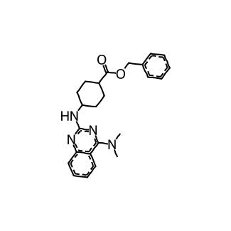 CN(C)c1nc(NC2CCC(C(=O)OCc3ccccc3)CC2)nc2ccccc12